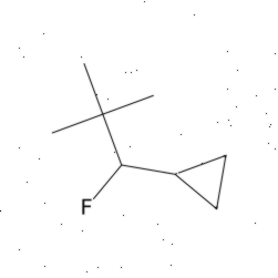 CC(C)(C)C(F)C1CC1